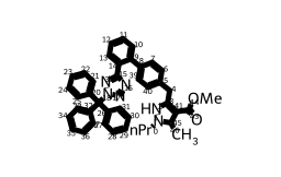 CCCN1NC(Cc2ccc(-c3ccccc3-c3nnn(C(c4ccccc4)(c4ccccc4)c4ccccc4)n3)cc2)=C(C(=O)OC)C1C